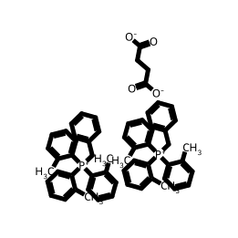 Cc1ccccc1[P+](Cc1ccccc1)(c1ccccc1C)c1ccccc1C.Cc1ccccc1[P+](Cc1ccccc1)(c1ccccc1C)c1ccccc1C.O=C([O-])CCC(=O)[O-]